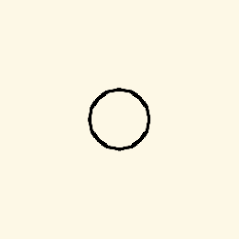 [CH]1CCCCCCC[CH]CCCCCCC1